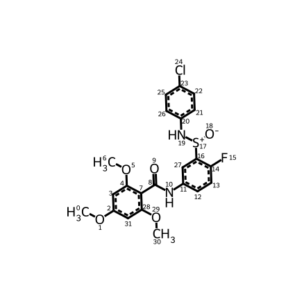 COc1cc(OC)c(C(=O)Nc2ccc(F)c([S+]([O-])Nc3ccc(Cl)cc3)c2)c(OC)c1